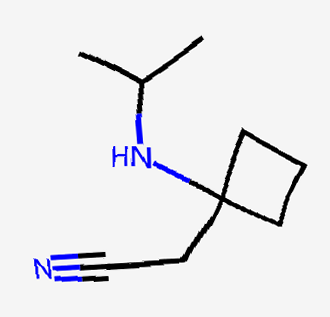 CC(C)NC1(CC#N)CCC1